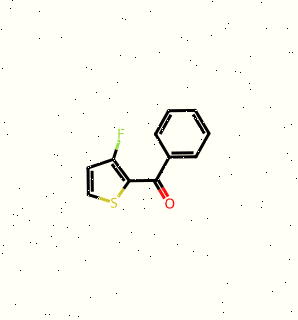 O=C(c1ccccc1)c1sccc1F